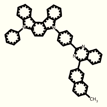 Cc1ccc2ccc(-c3nc(-c4ccc(-n5c6ccccc6c6c7c8ccccc8n(-c8ccccc8)c7ccc65)cc4)nc4ccccc34)cc2c1